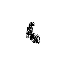 COc1c(NC(=O)Nc2ccc(-c3ccc(CN4CCOCC4)nc3)c3ccccc23)cc(C(C)(C)C)cc1N(C)C(C)=O